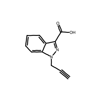 C#CCn1nc(C(=O)O)c2ccccc21